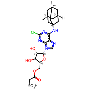 C[C@]12C[C@@H]3C[C@](C)(C1)C[C@@](Nc1nc(Cl)nc4c1ncn4[C@@H]1O[C@H](COC(=O)CS(=O)(=O)O)C(O)[C@@H]1O)(C3)C2